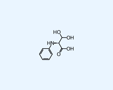 O=C(O)[C@@H](Nc1ccccc1)C(O)O